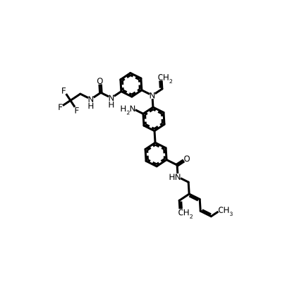 C=C/C(=C\C=C/C)CNC(=O)c1cccc(-c2ccc(N(C=C)c3cccc(NC(=O)NCC(F)(F)F)c3)c(N)c2)c1